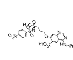 CCOC(=O)c1cc2c(NC(C)C)ncnc2cc1OCCCS(C)(=O)=NS(=O)(=O)c1ccc([N+](=O)[O-])cc1